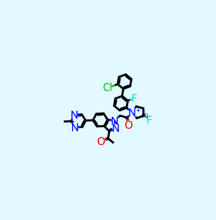 CC(=O)c1nn(CC(=O)[N+]2(c3cccc(-c4ccccc4Cl)c3F)CC[C@@H](F)C2)c2ccc(-c3cnc(C)nc3)cc12